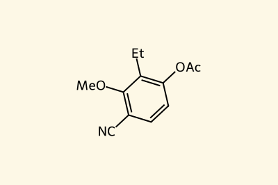 CCc1c(OC(C)=O)ccc(C#N)c1OC